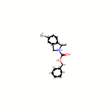 CC1c2ccc(Br)cc2CN1C(=O)OCc1ccccc1